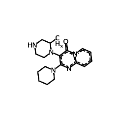 CC1CNCCN1c1c(N2CCCCC2)nc2ccccn2c1=O